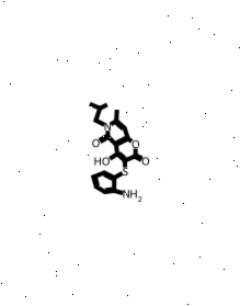 Cc1cc2oc(=O)c(Sc3ccccc3N)c(O)c2c(=O)n1CC(C)C